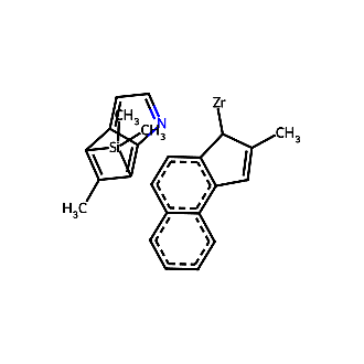 CC1=C2C3=CC=NC3=C1[Si]2(C)C.CC1=Cc2c(ccc3ccccc23)[CH]1[Zr]